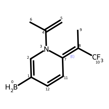 BC1=CN(C(=C)C)/C(=C(\C)C(F)(F)F)C=C1